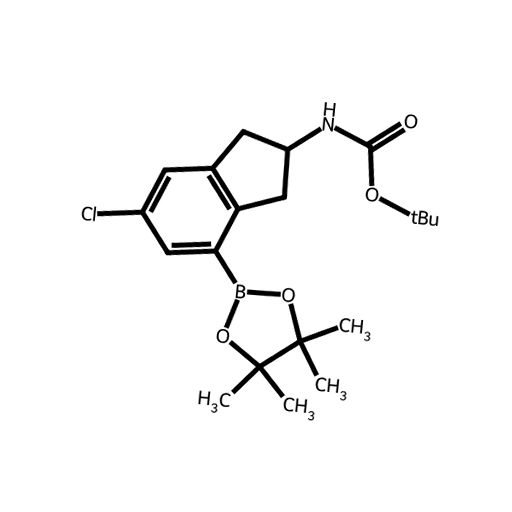 CC(C)(C)OC(=O)NC1Cc2cc(Cl)cc(B3OC(C)(C)C(C)(C)O3)c2C1